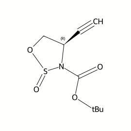 C#C[C@@H]1COS(=O)N1C(=O)OC(C)(C)C